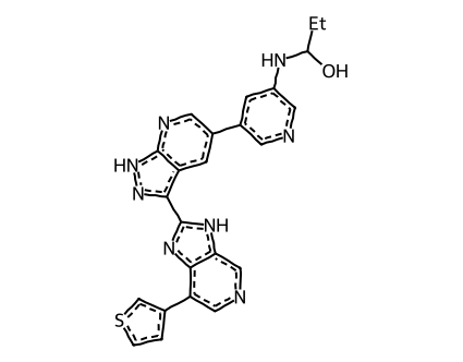 CCC(O)Nc1cncc(-c2cnc3[nH]nc(-c4nc5c(-c6ccsc6)cncc5[nH]4)c3c2)c1